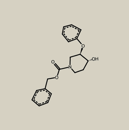 O=C(OCc1ccccc1)N1CC[C@@H](O)[C@H](Oc2ccccc2)C1